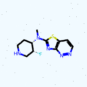 CN(c1nc2nnccc2s1)[C@H]1CCNC[C@H]1F